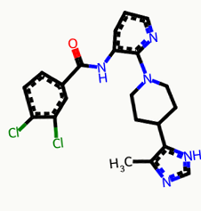 Cc1nc[nH]c1C1CCN(c2ncccc2NC(=O)c2ccc(Cl)c(Cl)c2)CC1